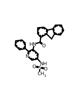 CS(=O)(=O)Nc1cnc(-c2ccccc2)c(NC(=O)c2cccc3c2Cc2ccccc2-3)c1